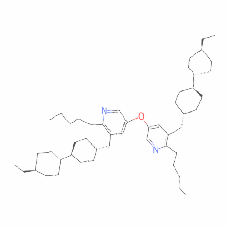 CCCCCc1ncc(Oc2cnc(CCCCC)c(C[C@H]3CC[C@H]([C@H]4CC[C@H](CC)CC4)CC3)c2)cc1C[C@H]1CC[C@H]([C@H]2CC[C@H](CC)CC2)CC1